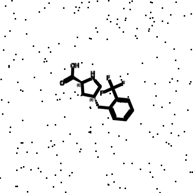 O=C(O)[C@@H]1C[C@@H](Cc2ccccc2C(F)(F)F)CN1